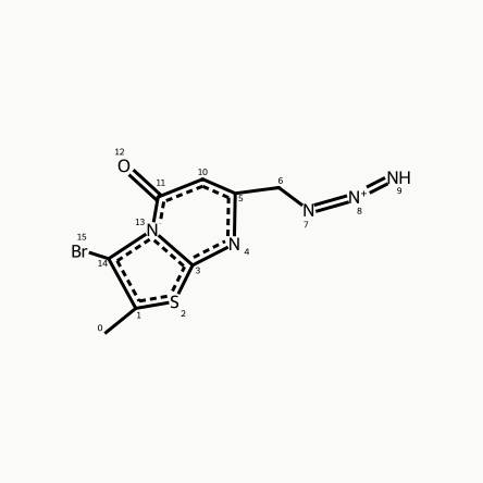 Cc1sc2nc(CN=[N+]=N)cc(=O)n2c1Br